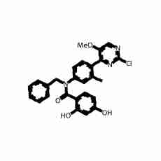 COc1cnc(Cl)nc1-c1ccc(N(Cc2ccccc2)C(=O)c2ccc(O)cc2O)cc1C